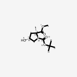 COC(=O)[C@]1(C)C[C@@H](O)CN1C(=O)OC(C)(C)C